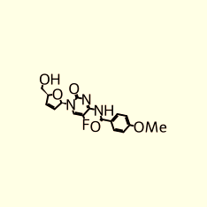 COc1ccc(C(=O)Nc2nc(=O)n([C@H]3C=C[C@@H](CO)O3)cc2F)cc1